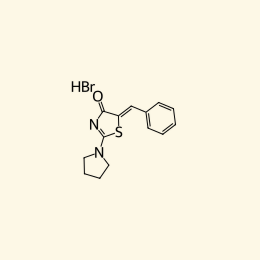 Br.O=C1N=C(N2CCCC2)S/C1=C\c1ccccc1